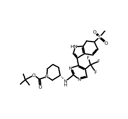 CC(C)(C)OC(=O)N1CCC[C@H](Nc2ncc(C(F)(F)F)c(-c3c[nH]c4c3C=CC(S(C)(=O)=O)C4)n2)C1